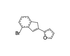 Brc1cccc2c1C=C(c1ccco1)C2